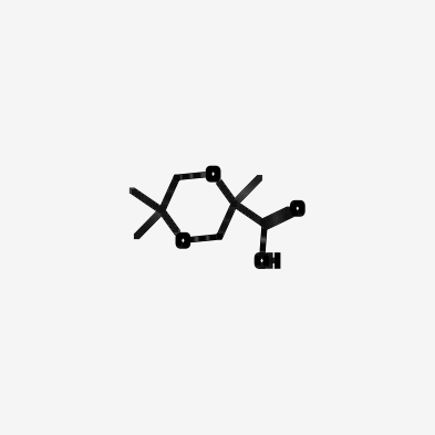 CC1(C)COC(C)(C(=O)O)CO1